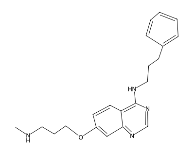 CNCCCOc1ccc2c(NCCCc3ccccc3)ncnc2c1